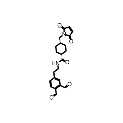 O=Cc1ccc(CCNC(=O)[C@H]2CC[C@H](CN3C(=O)C=CC3=O)CC2)cc1C=O